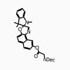 CCCCCCCCCCCC(=O)Oc1ccc2ccc3c(c2c1)N=CC1(O3)N(C)c2ccccc2C1(C)C